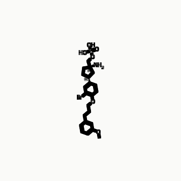 COc1cccc(CCCOc2ccc([C@@H]3CC[C@](N)(COP(=O)(O)O)C3)cc2Br)c1